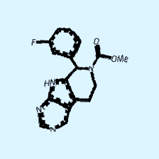 COC(=O)N1CCc2c([nH]c3ncncc23)C1c1cccc(F)c1